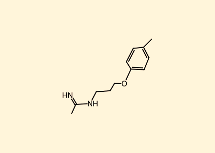 CC(=N)NCCCOc1ccc(C)cc1